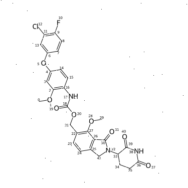 COc1cc(Oc2ccc(F)c(Cl)c2)ccc1NC(=O)OCc1ccc2c(c1OC)C(=O)N(C1CCC(=O)NC1=O)C2